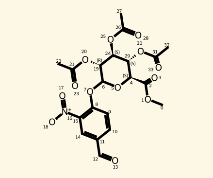 COC(=O)[C@H]1OC(Oc2ccc(C=O)cc2[N+](=O)[O-])[C@H](OC(C)=O)[C@@H](OC(C)=O)[C@@H]1OC(C)=O